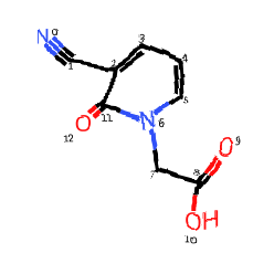 N#Cc1cccn(CC(=O)O)c1=O